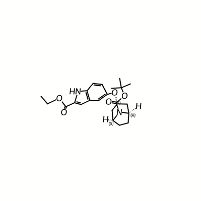 CCOC(=O)c1cc2cc(O[C@@H]3C[C@H]4CC[C@@H](C3)N4C(=O)OC(C)(C)C)ccc2[nH]1